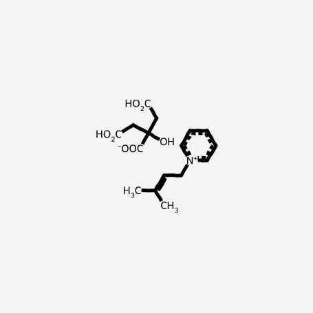 CC(C)=CC[n+]1ccccc1.O=C(O)CC(O)(CC(=O)O)C(=O)[O-]